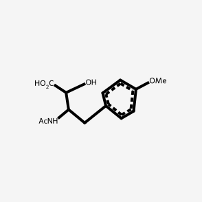 COc1ccc(CC(NC(C)=O)C(O)C(=O)O)cc1